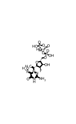 C=C([C@@H]1O[C@H](COP(=O)(O)OP(=O)(O)OP(=O)(O)O)[C@@H](O)[C@H]1F)n1nc(N)[nH]c(=O)/c1=N/C